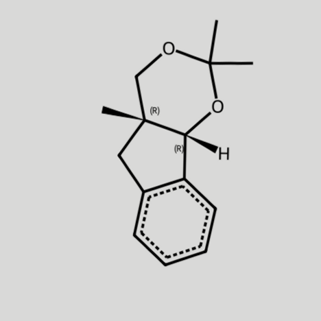 CC1(C)OC[C@@]2(C)Cc3ccccc3[C@H]2O1